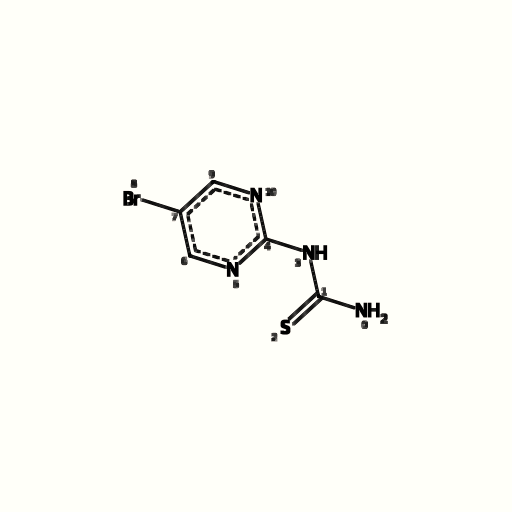 NC(=S)Nc1ncc(Br)cn1